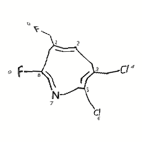 Fc1cc(Cl)c(Cl)nc1F